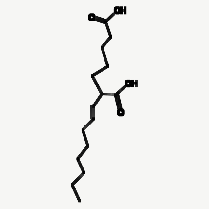 CCCCCCC=CC(CCCCC(=O)O)C(=O)O